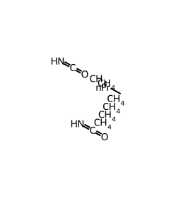 C.C.C.C.C.C.CCCC.N=C=O.N=C=O